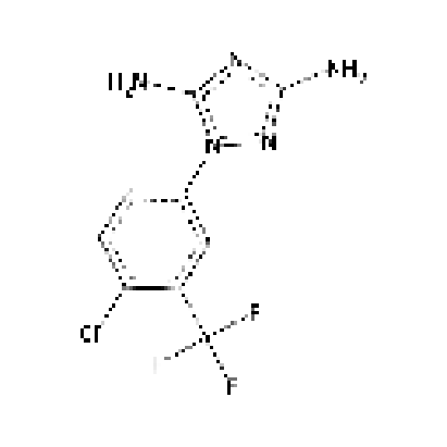 Nc1nc(N)n(-c2ccc(Cl)c(C(F)(F)F)c2)n1